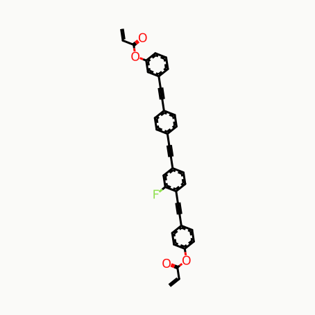 C=CC(=O)Oc1ccc(C#Cc2ccc(C#Cc3ccc(C#Cc4cccc(OC(=O)C=C)c4)cc3)cc2F)cc1